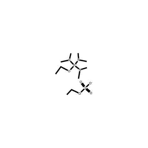 CCOS(=O)(=O)[O-].CCO[P+](N(C)C)(N(C)C)N(C)C